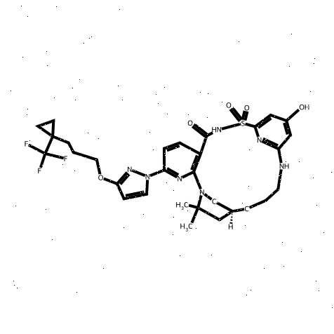 CC1(C)C[C@@H]2CCCNc3cc(O)cc(n3)S(=O)(=O)NC(=O)c3ccc(-n4ccc(OCCCC5(C(F)(F)F)CC5)n4)nc3N1C2